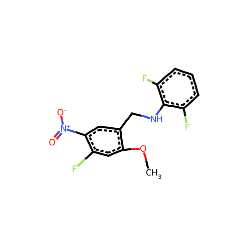 COc1cc(F)c([N+](=O)[O-])cc1CNc1c(F)cccc1F